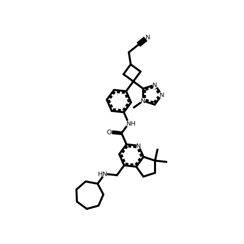 Cn1cnnc1C1(c2cccc(NC(=O)c3cc(CNC4CCCCCC4)c4c(n3)C(C)(C)CC4)c2)CC(CC#N)C1